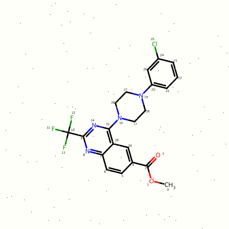 COC(=O)c1ccc2nc(C(F)(F)F)nc(N3CCN(c4cccc(Cl)c4)CC3)c2c1